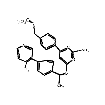 Nc1nc(OC(c2ccc(-c3cnccc3C(F)(F)F)cc2)C(F)(F)F)cc(-c2ccc(CSC(=O)O)cc2)n1